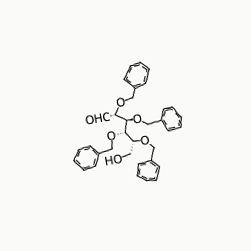 O=C[C@H](OCc1ccccc1)[C@@H](OCc1ccccc1)[C@@H](OCc1ccccc1)[C@@H](CO)OCc1ccccc1